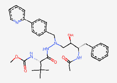 COC(=O)N[C@H](C(=O)NN(Cc1ccc(-c2ccccn2)cc1)C[C@@H](O)[C@H](Cc1ccccc1)NC(C)=O)C(C)(C)C